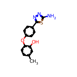 Cc1ccc(Oc2ccc(-c3nnc(N)s3)cc2)c(O)c1